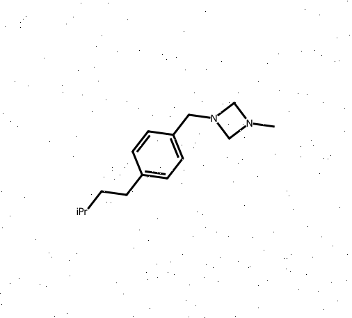 CC(C)CCc1ccc(CN2CN(C)C2)cc1